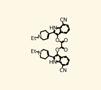 CCN1CC=C(c2[nH]c3c(C#N)cccc3c2OC(=O)C(=O)Oc2c(C3=CCN(CC)CC3)[nH]c3c(C#N)cccc23)CC1